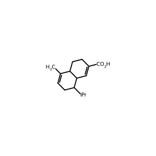 CC1=CCC(C(C)C)C2C=C(C(=O)O)CCC12